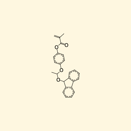 C=C(C)C(=O)Oc1ccc(OC(C)OC2c3ccccc3-c3ccccc32)cc1